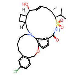 CC(C)[C@@H]1[C@@H](C)C/C=C/[C@H](O)[C@@H]2CC[C@H]2CN2CCCCc3cc(Cl)ccc3COc3ccc(cc32)C(=O)NS1(=O)=O